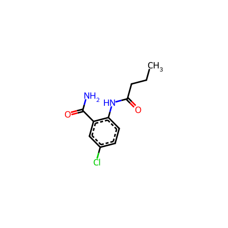 CCCC(=O)Nc1ccc(Cl)cc1C(N)=O